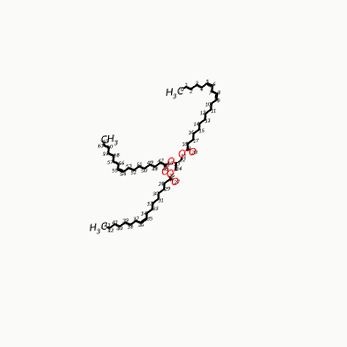 CCCCC/C=C\C/C=C\CCCCCCCCCC(=O)OC[C@@H](COC(=O)CCCCCCC/C=C\CCCCCCC)OC(=O)CCCCCCC/C=C\CCCCCCC